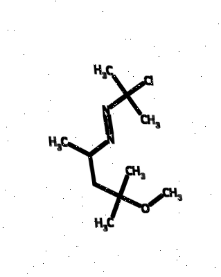 COC(C)(C)CC(C)N=NC(C)(C)Cl